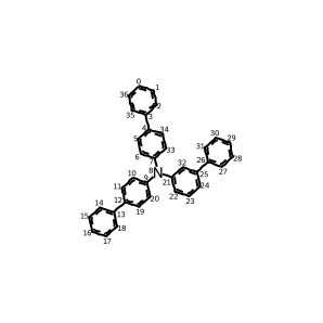 c1ccc(-c2ccc(N(c3ccc(-c4ccccc4)cc3)c3cccc(-c4ccccc4)c3)cc2)cc1